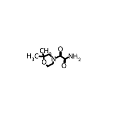 CC1(C)CN(C(=O)C(N)=O)CCO1